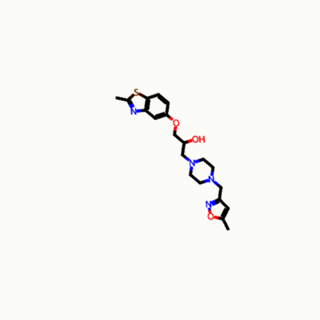 Cc1cc(CN2CCN(CC(O)COc3ccc4sc(C)nc4c3)CC2)no1